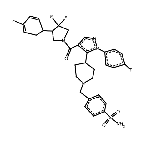 NS(=O)(=O)c1ccc(CN2CCC(c3c(C(=O)N4CC(C5C=CC(F)=CC5)C(F)(F)C4)cnn3-c3ccc(F)cc3)CC2)cc1